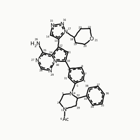 CC(=O)N1CCN(c2cccc(-c3cc(-c4cnnn4C4CCOCC4)c4c(N)ncnn34)c2)C(c2ccccc2)C1